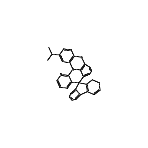 CC(C)c1ccc2c(c1)N1c3ncccc3C3(C4=C(C=CCC4)c4ccccc43)c3cccc(c31)S2